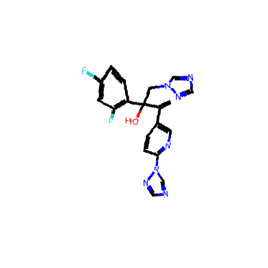 C=C(c1ccc(-n2cncn2)nc1)C(O)(Cn1cncn1)c1ccc(F)cc1F